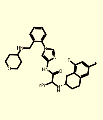 CCCC(N[C@H]1CCc2cc(F)cc(F)c2C1)C(=O)Nc1cn(-c2ccccc2CNC2CCOCC2)cn1